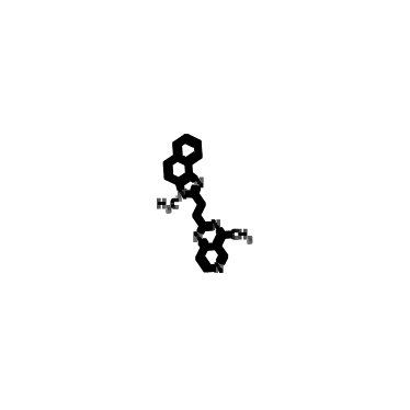 Cc1nc(CCc2nc3c4ccccc4ccc3n2C)nc2ccncc12